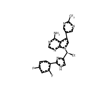 CC[C@@H](c1c[nH]c(-c2ccc(F)cc2F)n1)n1cc(-c2cnc(C(F)(F)F)nc2)c2c(N)ncnc21